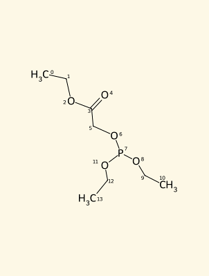 CCOC(=O)COP(OCC)OCC